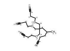 CC(CCC#N)CC(COCCC#N)(COCCC#N)COCCC#N